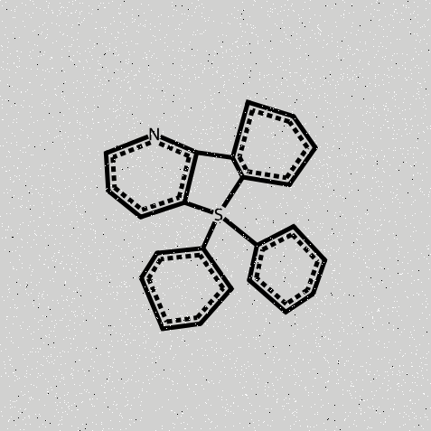 c1ccc(S2(c3ccccc3)c3ccccc3-c3ncccc32)cc1